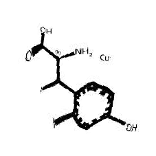 N[C@H](C(=O)O)C(I)c1ccc(O)cc1I.[Cu]